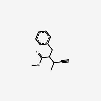 C#CC(C)C(Cc1ccccc1)C(=O)OC